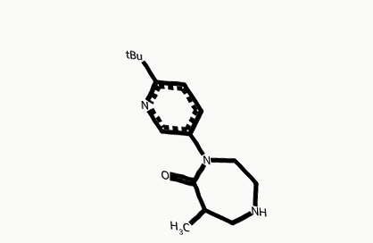 CC1CNCCN(c2ccc(C(C)(C)C)nc2)C1=O